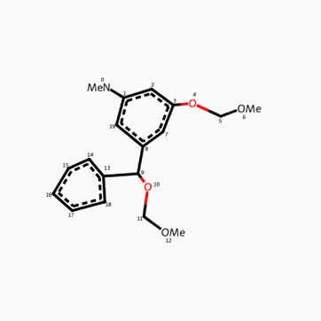 CNc1cc(OCOC)cc(C(OCOC)c2ccccc2)c1